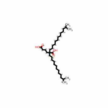 CC(C)CCCCCCCCCCCC(CCCCCCCCCCCC(C)C)(CCCC(=O)O)C(=O)O